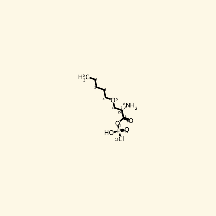 CCCCCOC[C@H](N)C(=O)OP(=O)(O)Cl